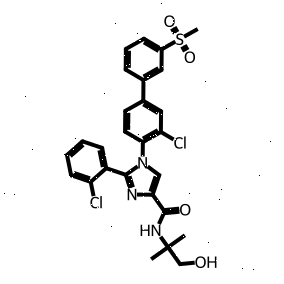 CC(C)(CO)NC(=O)c1cn(-c2ccc(-c3cccc(S(C)(=O)=O)c3)cc2Cl)c(-c2ccccc2Cl)n1